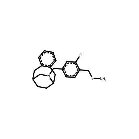 NSCc1ccc(CN2CC3CCC2Cc2ccccc2C3)cc1Cl